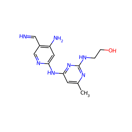 Cc1cc(Nc2cc(N)c(C=N)cn2)nc(NCCO)n1